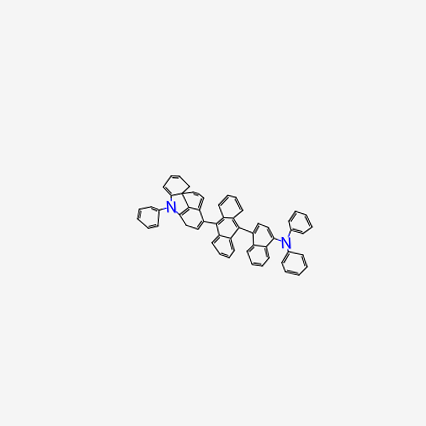 C1=CCC23C=CC=C4C(c5c6ccccc6c(-c6ccc(N(c7ccccc7)c7ccccc7)c7ccccc67)c6ccccc56)=CCC(=C42)N(c2ccccc2)C3=C1